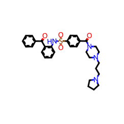 O=C(c1ccccc1)c1ccccc1NS(=O)(=O)c1ccc(C(=O)N2CCN(CCCN3CCCC3)CC2)cc1